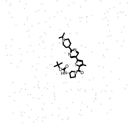 Cc1cc(-c2cnc(C3CCN(C(C)C)CC3)nc2)sc1C(=O)N1CC[C@H](NC(=O)OC(C)(C)C)C1